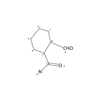 [N]C(=O)C1CCCCC1C=O